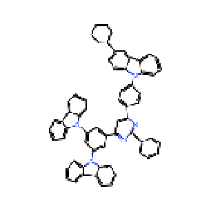 c1ccc(-c2nc(-c3ccc(-n4c5ccccc5c5cc(C6CCCCC6)ccc54)cc3)cc(-c3cc(-n4c5ccccc5c5ccccc54)cc(-n4c5ccccc5c5ccccc54)c3)n2)cc1